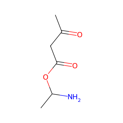 CC(=O)CC(=O)OC(C)N